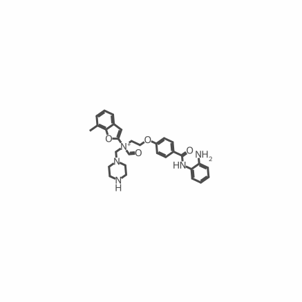 Cc1cccc2cc([N+](C=O)(CCOc3ccc(C(=O)Nc4ccccc4N)cc3)CN3CCNCC3)oc12